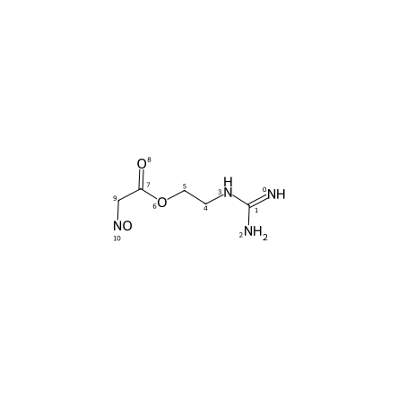 N=C(N)NCCOC(=O)CN=O